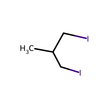 CC(CI)CI